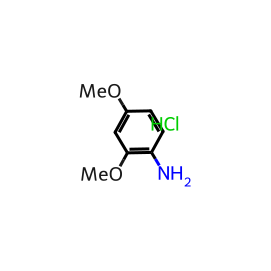 COc1ccc(N)c(OC)c1.Cl